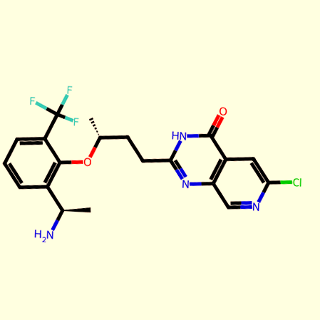 C[C@H](CCc1nc2cnc(Cl)cc2c(=O)[nH]1)Oc1c([C@@H](C)N)cccc1C(F)(F)F